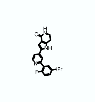 CC(C)c1ccc(F)c(-c2cc(-c3cc4c([nH]3)CCNC4=O)ccn2)c1